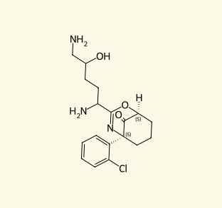 NCC(O)CCC(N)C1=N[C@]2(c3ccccc3Cl)CCC[C@H](O1)C2=O